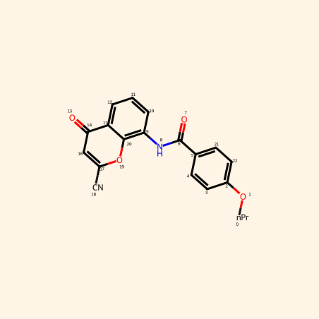 CCCOc1ccc(C(=O)Nc2cccc3c(=O)cc(C#N)oc23)cc1